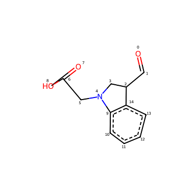 O=CC1CN(CC(=O)O)c2ccccc21